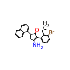 CCc1c(Br)cccc1C1=C(N)CC(c2cccc3ccccc23)C1=O